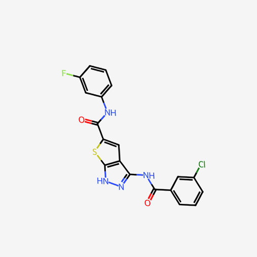 O=C(Nc1n[nH]c2sc(C(=O)Nc3cccc(F)c3)cc12)c1cccc(Cl)c1